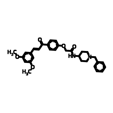 COc1cc(/C=C/C(=O)c2ccc(OCC(=O)NC3CCN(Cc4ccccc4)CC3)cc2)cc(OC)c1